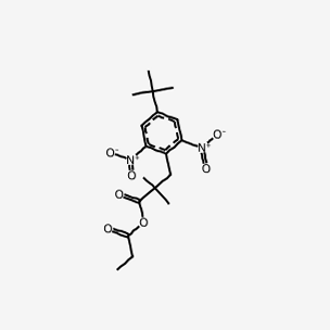 CCC(=O)OC(=O)C(C)(C)Cc1c([N+](=O)[O-])cc(C(C)(C)C)cc1[N+](=O)[O-]